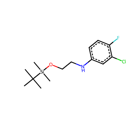 CC(C)(C)[Si](C)(C)OCCNc1ccc(F)c(Cl)c1